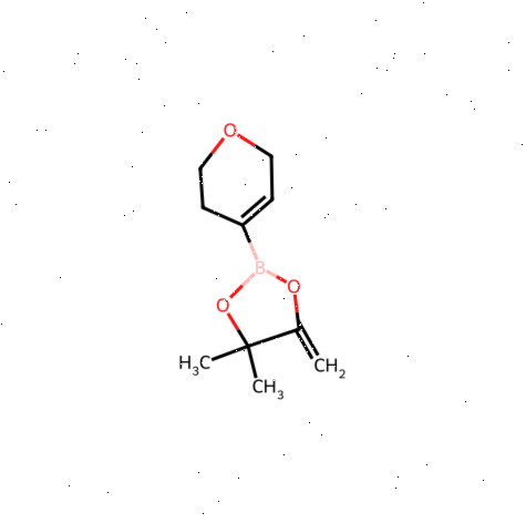 C=C1OB(C2=CCOCC2)OC1(C)C